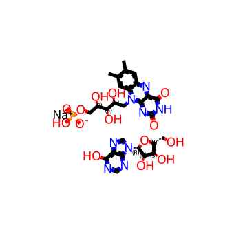 Cc1cc2nc3c(=O)[nH]c(=O)nc-3n(C[C@H](O)[C@H](O)[C@H](O)COP(=O)([O-])O)c2cc1C.OC[C@H]1O[C@@H](n2cnc3c(O)ncnc32)[C@H](O)[C@@H]1O.[Na+]